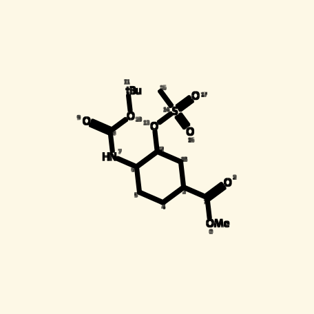 COC(=O)C1CCC(NC(=O)OC(C)(C)C)C(OS(C)(=O)=O)C1